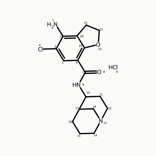 Cl.Nc1c(Cl)cc(C(=O)NC2CCN3CCCC2C3)c2c1CCO2